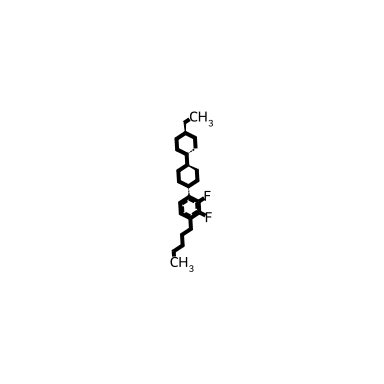 CCCCCc1ccc([C@H]2CC[C@H]([C@H]3CC[C@H](CC)CC3)CC2)c(F)c1F